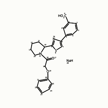 O=C(O)c1cccc(-c2csc(C3CCCCN3C(=O)COc3ccccc3)n2)c1.[NaH]